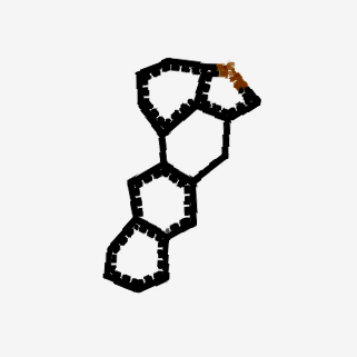 c1ccc2cc3c(cc2c1)Cc1csc2cccc-3c12